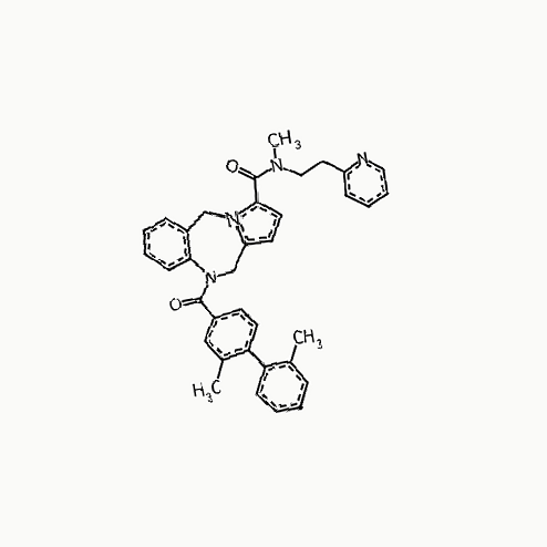 Cc1ccccc1-c1ccc(C(=O)N2Cc3ccc(C(=O)N(C)CCc4ccccn4)n3Cc3ccccc32)cc1C